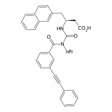 CCCN(C(=O)N[C@H](CC(=O)O)Cc1ccc2ccccc2c1)C(=O)c1cccc(C#Cc2ccccc2)c1